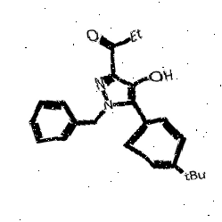 CCC(=O)c1nn(Cc2ccccc2)c(-c2ccc(C(C)(C)C)cc2)c1O